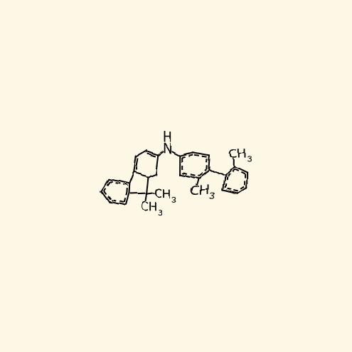 Cc1ccccc1-c1ccc(NC2=CC=C3c4ccccc4C(C)(C)C3C2)cc1C